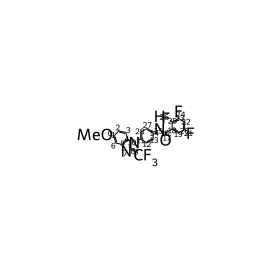 COc1ccc2c(c1)nc(C(F)(F)F)n2-c1ccc(NC(=O)c2cc(F)cc(F)c2F)cc1